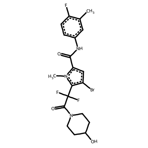 Cc1cc(NC(=O)c2cc(Br)c(C(F)(F)C(=O)N3CCC(O)CC3)n2C)ccc1F